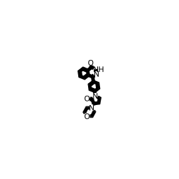 O=C1C(N2CCOCC2)CCN1c1ccc(-c2n[nH]c(=O)c3ccccc23)cc1